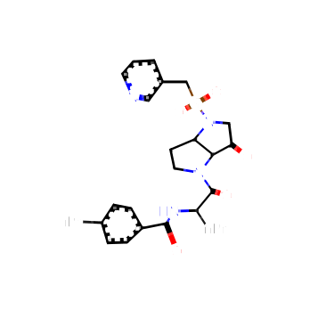 CCCC(NC(=O)c1ccc(C(C)C)cc1)C(=O)N1CCC2C1C(=O)CN2S(=O)(=O)Cc1cccnc1